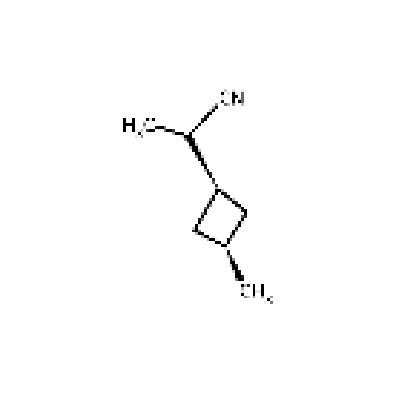 CC(C#N)[C@H]1C[C@@H](C)C1